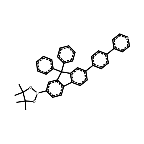 CC1(C)OB(c2ccc3c(c2)C(c2ccccc2)(c2ccccc2)c2cc(-c4ccc(-c5ccncc5)cc4)ccc2-3)OC1(C)C